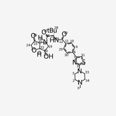 CN1CCN(c2nc(-c3ccc(C(=O)N[C@H](C(=O)N4C[C@@H](O)[C@H]5OCC(=O)[C@H]54)C(C)(C)C)cc3)cs2)CC1